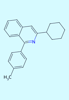 Cc1ccc(-c2nc(C3CCCCC3)cc3ccccc23)cc1